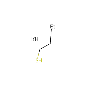 CCCCS.[KH]